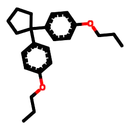 CCCOc1ccc(C2(c3ccc(OCCC)cc3)CCCC2)cc1